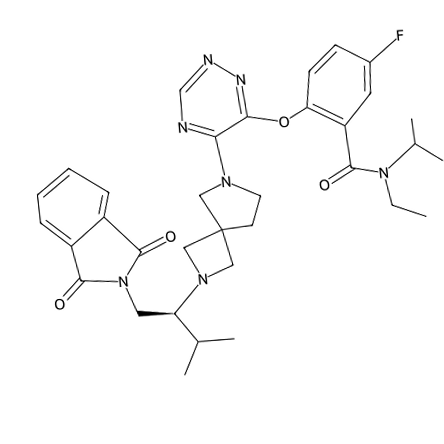 CCN(C(=O)c1cc(F)ccc1Oc1nncnc1N1CCC2(C1)CN([C@H](CN1C(=O)c3ccccc3C1=O)C(C)C)C2)C(C)C